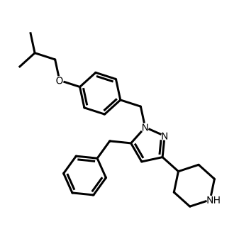 CC(C)COc1ccc(Cn2nc(C3CCNCC3)cc2Cc2ccccc2)cc1